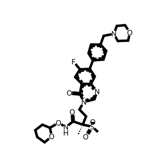 C[C@@](CCn1cnc2cc(-c3ccc(CN4CCOCC4)cc3)c(F)cc2c1=O)(C(=O)NOC1CCCCO1)S(C)(=O)=O